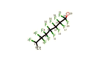 CCC(F)C(F)(F)C(F)(F)C(F)(F)C(F)(F)C(F)(F)C([O])(F)F